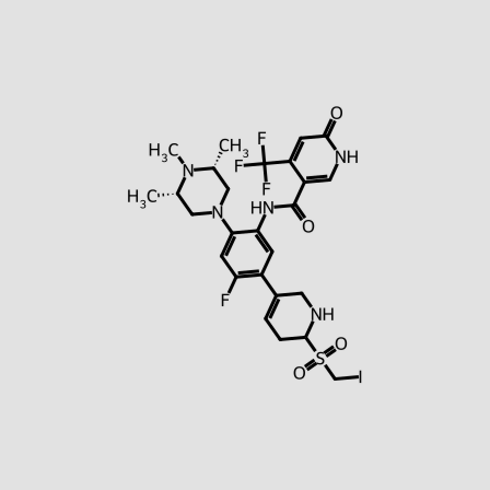 C[C@@H]1CN(c2cc(F)c(C3=CCC(S(=O)(=O)CI)NC3)cc2NC(=O)c2c[nH]c(=O)cc2C(F)(F)F)C[C@H](C)N1C